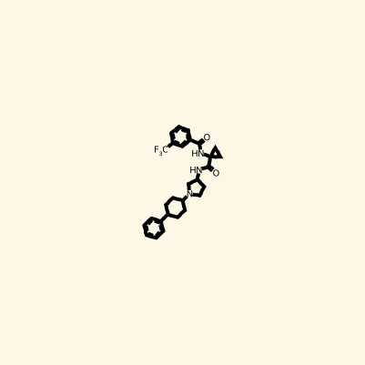 O=C(NC1(C(=O)NC2CCN(C3CCC(c4ccccc4)CC3)C2)CC1)c1cccc(C(F)(F)F)c1